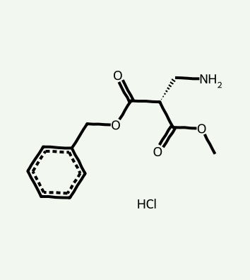 COC(=O)[C@@H](CN)C(=O)OCc1ccccc1.Cl